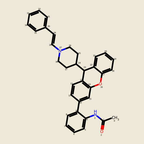 CC(=O)Nc1ccccc1-c1ccc2c(c1)Oc1ccccc1C2C1CCN(C=Cc2ccccc2)CC1